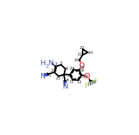 N#CC1=C(N)CCC(C#N)(c2ccc(OC(F)F)c(OCC3CC3)c2)C1